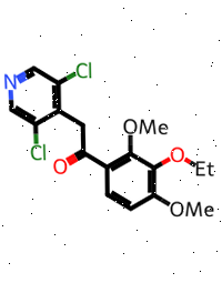 CCOc1c(OC)ccc(C(=O)Cc2c(Cl)cncc2Cl)c1OC